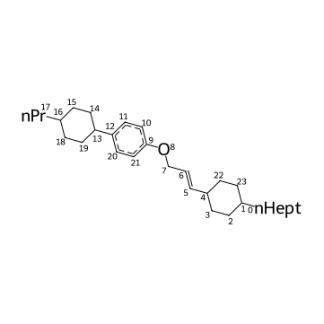 CCCCCCCC1CCC(/C=C/COc2ccc(C3CCC(CCC)CC3)cc2)CC1